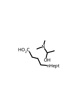 CC(O)N(C)C.CCCCCCCCCCC(=O)O